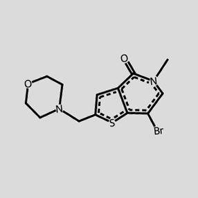 Cn1cc(Br)c2sc(CN3CCOCC3)cc2c1=O